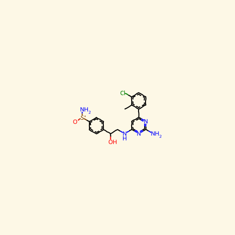 Cc1c(Cl)cccc1-c1cc(NCC(O)c2ccc([S+](N)[O-])cc2)nc(N)n1